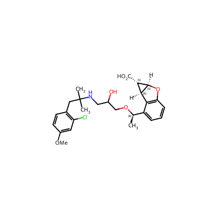 COc1ccc(CC(C)(C)NCC(O)CO[C@H](C)c2cccc3c2[C@@H]2[C@H](O3)[C@H]2C(=O)O)c(Cl)c1